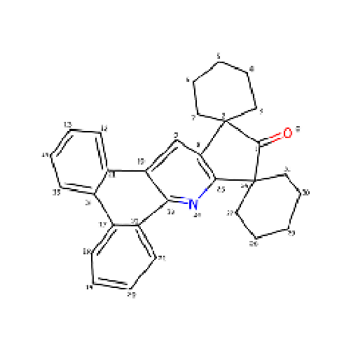 O=C1C2(CCCCC2)c2cc3c4ccccc4c4ccccc4c3nc2C12CCCCC2